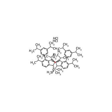 CC(C)CC1=Cc2c(ccc(C(C)C)c2-c2cc(C(C)C)cc(C(C)C)c2)[CH]1[Zr]([CH3])([CH3])(=[SiH2])[CH]1C(CC(C)C)=Cc2c1ccc(C(C)C)c2-c1cc(C(C)C)cc(C(C)C)c1.Cl.Cl